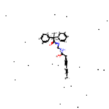 CCC#CC#CCC(=O)NCNC(=O)C(c1ccccc1)(C(C)C)C1C=CC=CC1